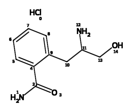 Cl.NC(=O)c1ccccc1CC(N)CO